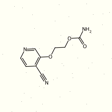 N#Cc1ccncc1OCCOC(N)=O